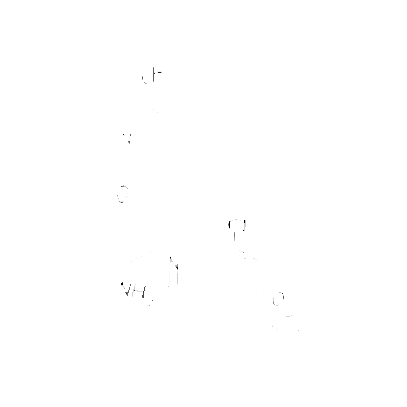 Cc1ccc(COc2ccc(N)c(NCc3ccc(OC(F)(F)F)cc3Cl)c2)nc1